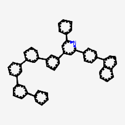 c1ccc(-c2cccc(-c3cccc(-c4cccc(-c5cccc(-c6cc(-c7ccccc7)nc(-c7ccc(-c8cccc9ccccc89)cc7)c6)c5)c4)c3)c2)cc1